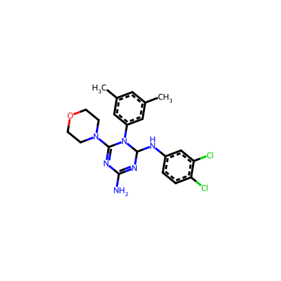 Cc1cc(C)cc(N2C(N3CCOCC3)=NC(N)=NC2Nc2ccc(Cl)c(Cl)c2)c1